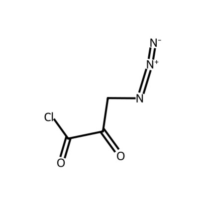 [N-]=[N+]=NCC(=O)C(=O)Cl